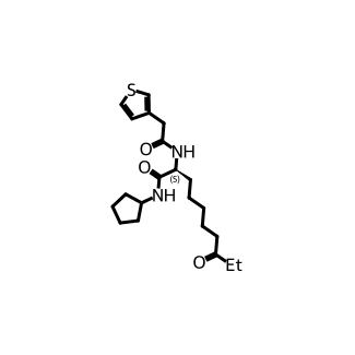 CCC(=O)CCCCC[C@H](NC(=O)Cc1ccsc1)C(=O)NC1CCCC1